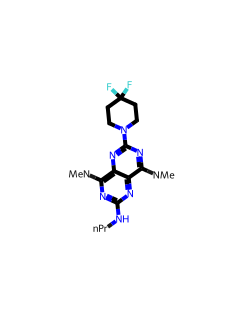 CCCNc1nc(NC)c2nc(N3CCC(F)(F)CC3)nc(NC)c2n1